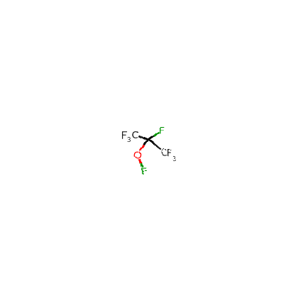 FOC(F)(C(F)(F)F)C(F)(F)F